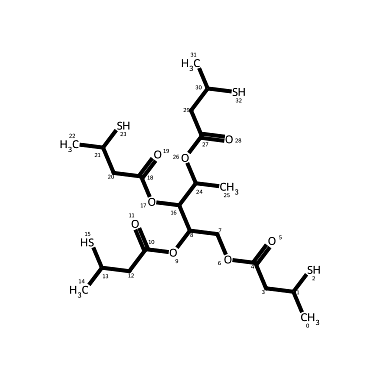 CC(S)CC(=O)OCC(OC(=O)CC(C)S)C(OC(=O)CC(C)S)C(C)OC(=O)CC(C)S